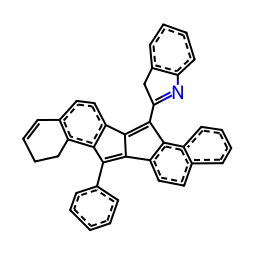 C1=Cc2ccc3c(c2CC1)C(c1ccccc1)=C1C3=C(C2=Nc3ccccc3C2)c2c1ccc1ccccc21